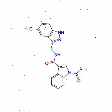 CC(=O)n1cc(C(=O)NCc2n[nH]c3ccc(C)cc23)c2ccccc21